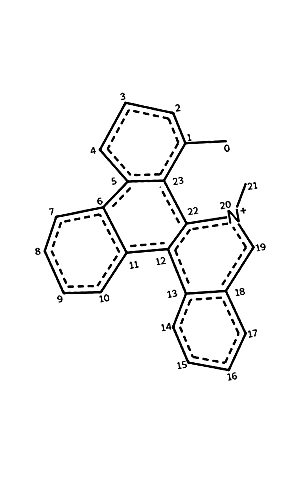 Cc1cccc2c3ccccc3c3c4ccccc4c[n+](C)c3c12